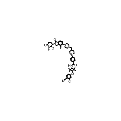 CC1(C)[C@H](NC(=O)c2ccc(N3CCC(CN4CCN(c5ccc6c(c5F)CN(C5CCC(=O)NC5=O)C6=O)CC4)CC3)cc2)C(C)(C)[C@H]1Oc1ccc(C#N)c(Cl)c1